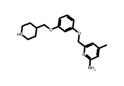 Cc1cc(N)nc(COc2cccc(OCC3CCNCC3)c2)c1